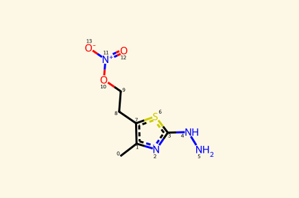 Cc1nc(NN)sc1CCO[N+](=O)[O-]